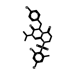 Cc1cc(Cl)cc(Cl)c1S(=O)(=O)N1CCC(=O)N2C1=CN(C(C)C)C(=O)C2Cc1ccc(Cl)cc1